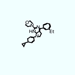 CCC1=C=CC=CC(C2=C3CCN(C4=CCC(C5CC5)C=C4)C3NC(N3CCOCC3)=N2)=C1